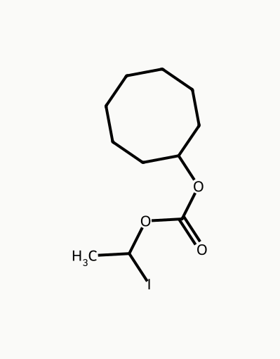 CC(I)OC(=O)OC1CCCCCCC1